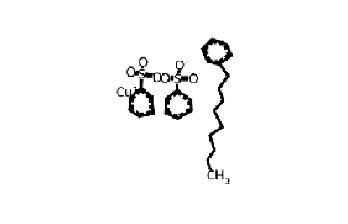 CCCCCCCCCc1ccccc1.O=S(=O)([O-])c1ccccc1.O=S(=O)([O-])c1ccccc1.[Cu+2]